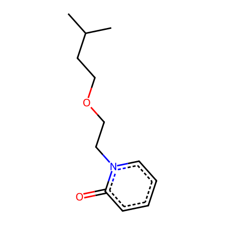 CC(C)CCOCCn1ccccc1=O